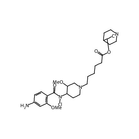 COc1cc(N)ccc1C(=O)N(Cl)C1CCN(CCCCCC(=O)OC2CN3CCC2CC3)CC1OC